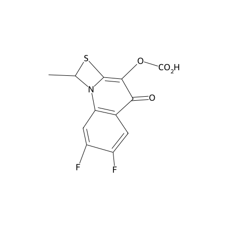 CC1Sc2c(OC(=O)O)c(=O)c3cc(F)c(F)cc3n21